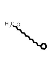 CCC(=O)CCCCCCCCCCCc1ccccc1